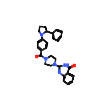 O=C(c1ccc(N2CCCC2c2ccccc2)cc1)N1CCN(c2nc3ccccc3c(=O)[nH]2)CC1